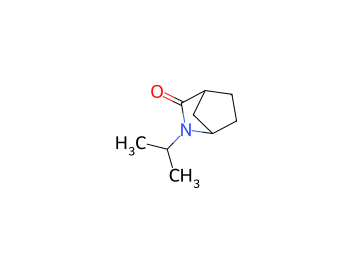 CC(C)N1C(=O)C2CCC1C2